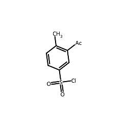 CC(=O)c1cc(S(=O)(=O)Cl)ccc1C